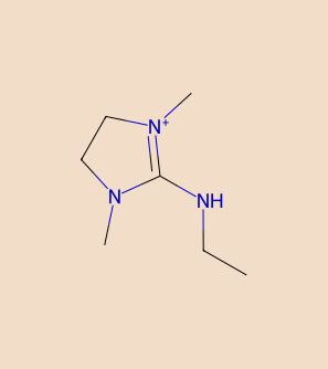 CCNC1=[N+](C)CCN1C